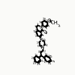 COc1ccc(N2CCc3ccc(N4CCN(CCC(c5ccccc5)c5ccccc5)CC4)cc3C2=O)cc1